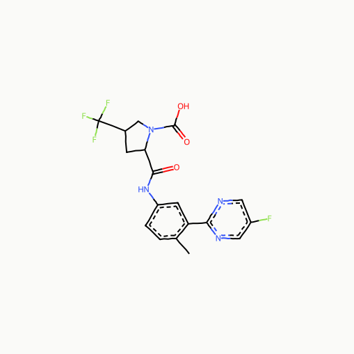 Cc1ccc(NC(=O)C2CC(C(F)(F)F)CN2C(=O)O)cc1-c1ncc(F)cn1